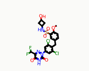 COc1ccc(Cc2c(Cl)cc(-n3nc(C(F)F)c(=O)[nH]c3=O)cc2Cl)cc1S(=O)(=O)NC1CC(O)C1